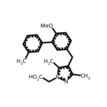 COc1ccc(Cc2c(C)nn(CC(=O)O)c2C)cc1-c1cccc(C)c1